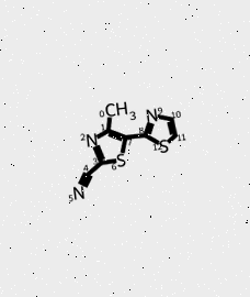 Cc1nc(C#N)sc1-c1nccs1